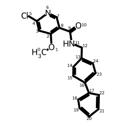 COc1cc(Cl)ncc1C(=O)NCc1ccc(-c2ccccc2)cc1